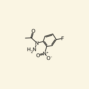 CC(=O)N(N)c1ccc(F)cc1[N+](=O)[O-]